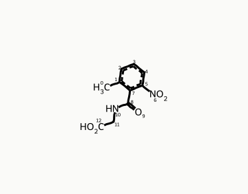 Cc1cccc([N+](=O)[O-])c1C(=O)NCC(=O)O